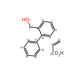 C=CC(=O)O.OCc1ccccc1-c1ccccc1